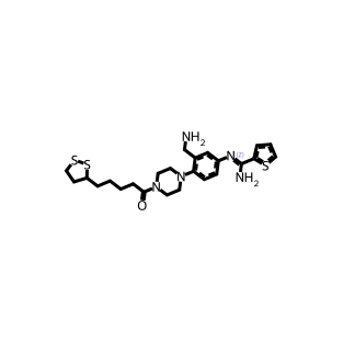 NCc1cc(/N=C(\N)c2cccs2)ccc1N1CCN(C(=O)CCCCC2CCSS2)CC1